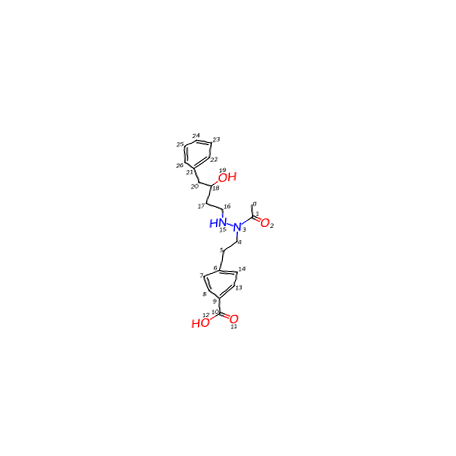 CC(=O)N(CCc1ccc(C(=O)O)cc1)NCCC(O)Cc1ccccc1